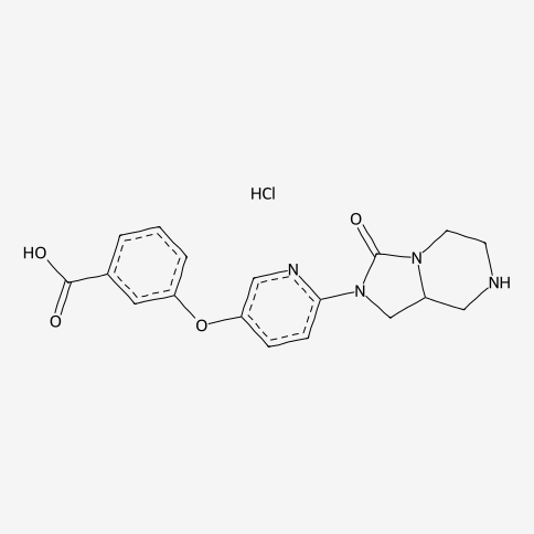 Cl.O=C(O)c1cccc(Oc2ccc(N3CC4CNCCN4C3=O)nc2)c1